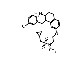 CN(CCOc1ccc2c(c1)C(Cc1cccc(Cl)c1)C(N)CC2)S(=O)(=O)CC1CC1